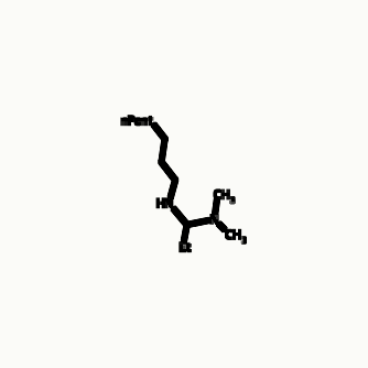 CCCCCCCCNC(CC)N(C)C